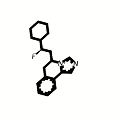 F[C@H](CC1Cc2ccccc2-c2cncn21)C1CCCCC1